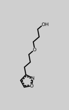 OCCCOCCCc1ccon1